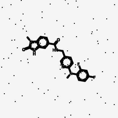 CN(c1ccc(CNC(=O)c2ccc3c(c2)[nH]c(=O)n3C)cn1)c1ccc(F)cc1F